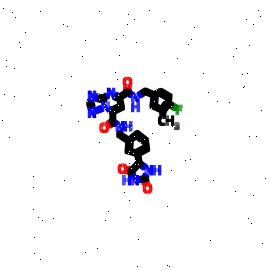 Cc1cc(CNC(=O)c2cc(C(=O)NCc3cccc(C4NC(=O)NC4=O)c3)n3ncnc3n2)ccc1F